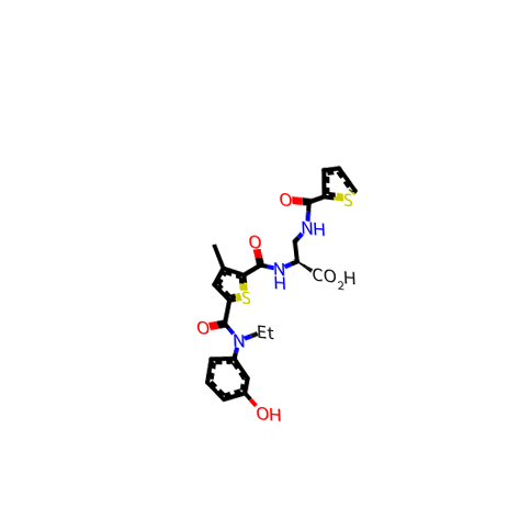 CCN(C(=O)c1cc(C)c(C(=O)N[C@@H](CNC(=O)c2cccs2)C(=O)O)s1)c1cccc(O)c1